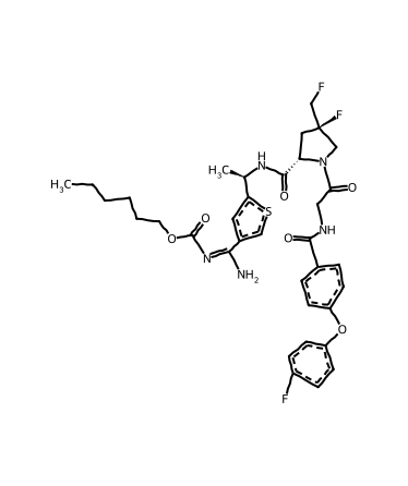 CCCCCCOC(=O)/N=C(/N)c1csc([C@@H](C)NC(=O)[C@@H]2C[C@](F)(CF)CN2C(=O)CNC(=O)c2ccc(Oc3ccc(F)cc3)cc2)c1